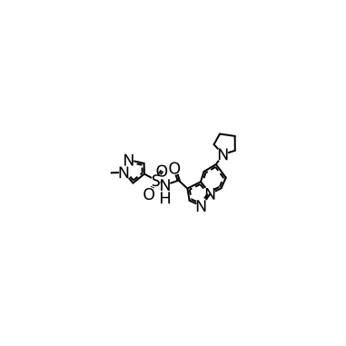 Cn1cc(S(=O)(=O)NC(=O)c2cnn3ccc(N4CCCC4)cc23)cn1